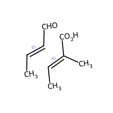 C/C=C(\C)C(=O)O.C/C=C/C=O